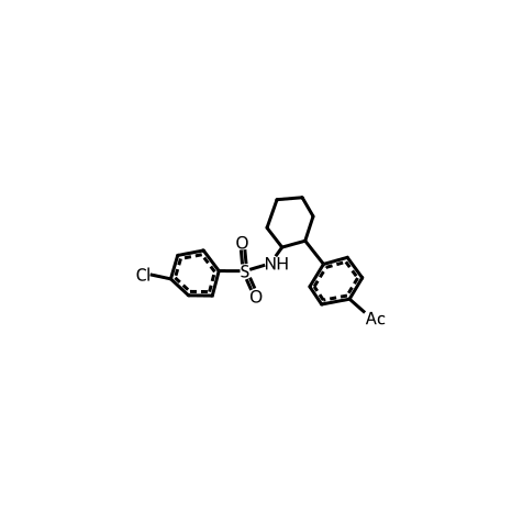 CC(=O)c1ccc(C2CCCCC2NS(=O)(=O)c2ccc(Cl)cc2)cc1